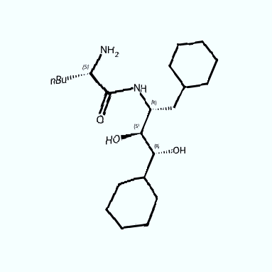 CCCC[C@H](N)C(=O)N[C@H](CC1CCCCC1)[C@H](O)[C@H](O)C1CCCCC1